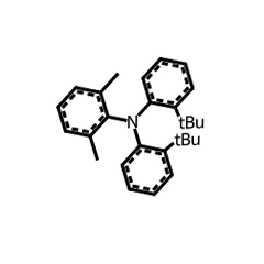 Cc1cccc(C)c1N(c1ccccc1C(C)(C)C)c1ccccc1C(C)(C)C